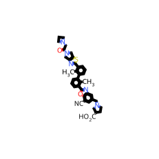 Cc1c(-c2nc3cc(CN4CCC(C(=O)O)C4)cc(C#N)c3o2)cccc1-c1cccc(-c2nc3c(s2)CN(C(=O)CN2CCC2)C3)c1C